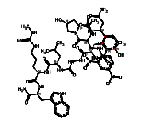 CNC(=N)NCCC[C@H](NC(=O)[C@H](CC(C)C)NC(=O)NNC(=O)[C@H](Cc1ccccc1)NC(=O)[C@@H](NC(=O)[C@H](CC(N)=O)NC(=O)[C@@H]1C[C@@H](O)CN1C(=O)[C@H](CNc1ccc([N+](=O)[O-])cc1[N+](=O)[O-])NC(C)=O)[C@@H](C)O)C(=O)N[C@@H](Cc1c[nH]c2ccccc12)C(N)=O